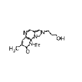 CCn1c2c(cc(C)c1=O)N=CC1=CN(CCCO)CN12